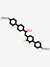 CCCCCCC1CCC(C2CCC(CC(O)C3CCC(C4CCC(CCCCC)CC4F)CC3)C(F)C2F)CC1